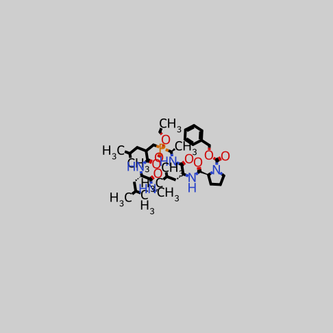 CCOP(=O)(CC(CC(C)C)C(=O)N[C@@H](CC(C)C)C(=O)NC)[C@@H](C)NC(=O)[C@@H](CC(C)C)NC(=O)[C@@H]1CCCN1C(=O)OCc1ccccc1